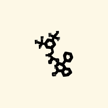 CN(Cc1cc(C(F)(F)F)cc(C(F)(F)F)c1)C(=O)Oc1nc(Cl)c2ccccc2c1-c1ccccc1